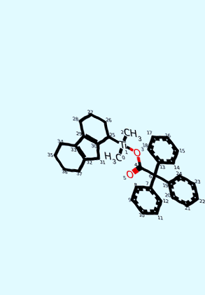 [CH3][Ti]([CH3])([O]C(=O)C(c1ccccc1)(c1ccccc1)c1ccccc1)[CH]1CCCC2=C1CC1=C2CCCC1